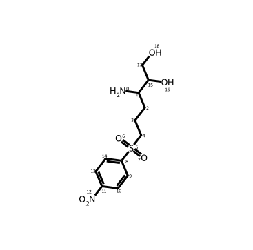 NC(CCCS(=O)(=O)c1ccc([N+](=O)[O-])cc1)C(O)CO